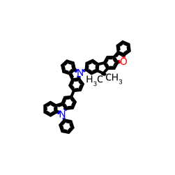 CC1(C)c2cc(-n3c4ccccc4c4cc(-c5ccc6c(c5)c5ccccc5n6-c5ccccc5)ccc43)ccc2-c2cc3c(cc21)oc1ccccc13